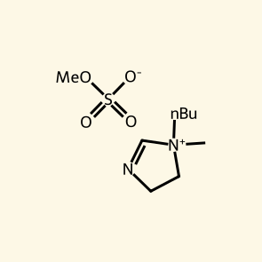 CCCC[N+]1(C)C=NCC1.COS(=O)(=O)[O-]